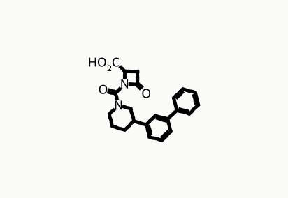 O=C(O)C1CC(=O)N1C(=O)N1CCCC(c2cccc(-c3ccccc3)c2)C1